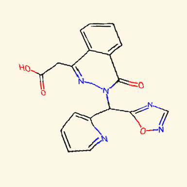 O=C(O)Cc1nn(C(c2ccccn2)c2ncno2)c(=O)c2ccccc12